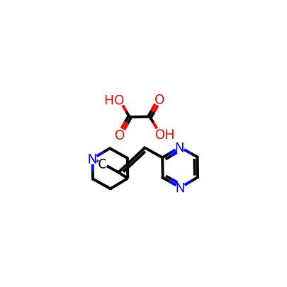 C(=C1\CN2CCC1CC2)/c1cnccn1.O=C(O)C(=O)O